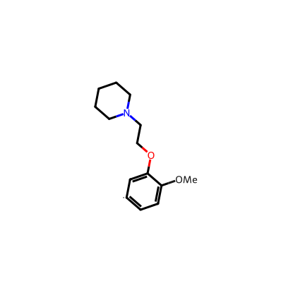 COc1cc[c]cc1OCCN1CCCCC1